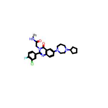 CC(C)NC(=O)Cn1c(-c2ccc(F)c(Cl)c2)nc2ccc(N3CCCN(C4CCCC4)CC3)cc2c1=O